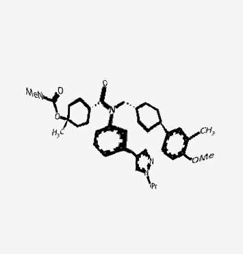 CNC(=O)O[C@]1(C)CC[C@H](C(=O)N(C[C@H]2CC[C@H](c3ccc(OC)c(C)c3)CC2)c2cccc(-c3cnn(C(C)C)c3)c2)CC1